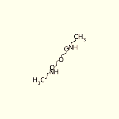 CCCNOCCOCCONCCC